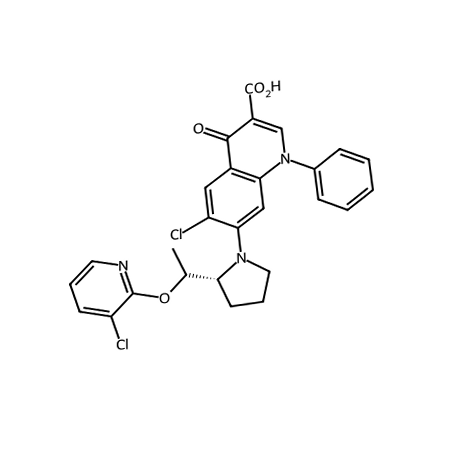 CC(Oc1ncccc1Cl)[C@H]1CCCN1c1cc2c(cc1Cl)c(=O)c(C(=O)O)cn2-c1ccccc1